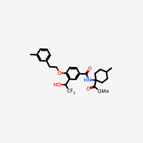 COC(=O)C1(NC(=O)c2ccc(OCCc3cccc(C)c3)c(C(O)C(F)(F)F)c2)CCC(C)CC1